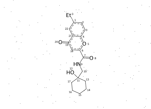 CCc1ccc2oc(C(=O)NCC3(O)CCCCC3)cc(=O)c2c1